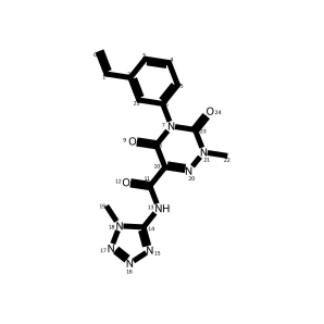 C=Cc1cccc(-n2c(=O)c(C(=O)Nc3nnnn3C)nn(C)c2=O)c1